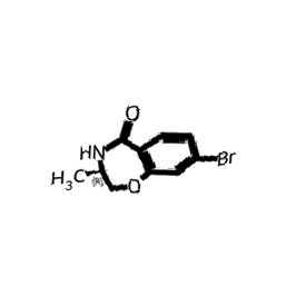 C[C@@H]1COc2cc(Br)ccc2C(=O)N1